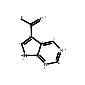 CC(=O)c1c[nH]c2ncncc12